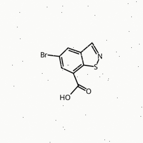 O=C(O)c1cc(Br)cc2cnsc12